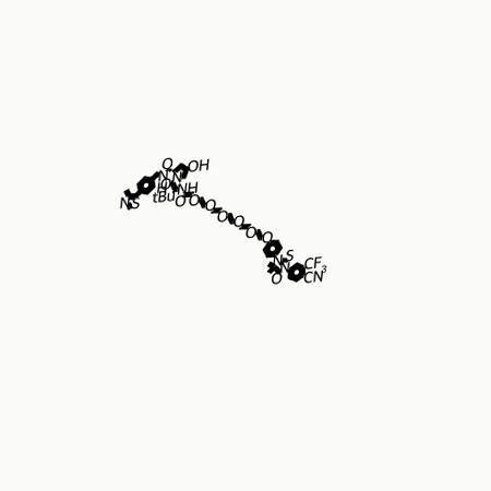 Cc1ncsc1-c1ccc(CNC(=O)[C@@H]2C[C@@H](O)CN2C(=O)[C@@H](NC(=O)COCCOCCOCCOCCOCCOc2ccc(N3C(=S)N(c4ccc(C#N)c(C(F)(F)F)c4)C(=O)C3(C)C)cc2)C(C)(C)C)cc1